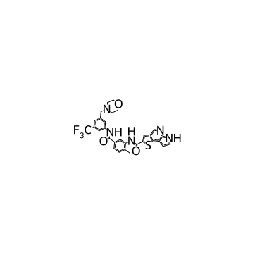 Cc1ccc(C(=O)Nc2cc(CN3CCOCC3)cc(C(F)(F)F)c2)cc1NC(=O)c1cc2cnc3[nH]ccc3c2s1